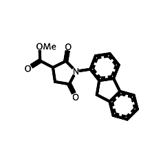 COC(=O)C1CC(=O)N(c2cccc3c2Cc2ccccc2-3)C1=O